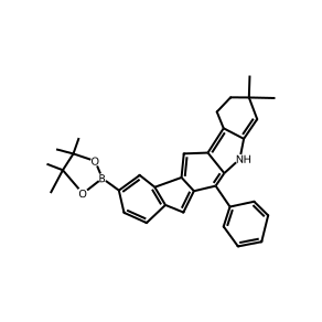 CC1(C)C=c2[nH]c3c(-c4ccccc4)c4c(cc3c2CC1)-c1cc(B2OC(C)(C)C(C)(C)O2)ccc1C=4